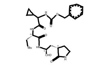 CC(C)(C)C[C@H](NC(=O)C(NC(=O)OCc1ccccc1)C1CC1)C(=O)N[C@H](C=O)C[C@@H]1CCNC1=O